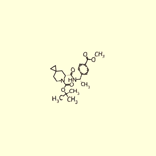 COC(=O)c1ccc([C@H](C)NC(=O)[C@H]2CC3(CCN2C(=O)OC(C)(C)C)CC3)cc1